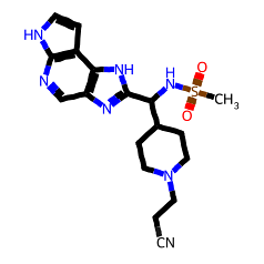 CS(=O)(=O)NC(c1nc2cnc3[nH]ccc3c2[nH]1)C1CCN(CCC#N)CC1